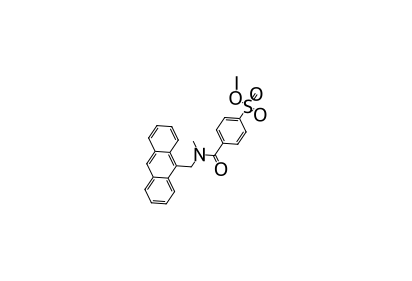 CN(Cc1c2ccccc2cc2ccccc12)C(=O)c1ccc(S(=O)(=O)OI)cc1